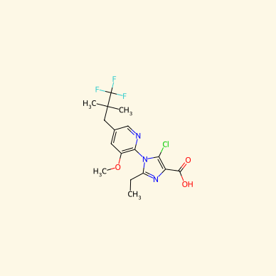 CCc1nc(C(=O)O)c(Cl)n1-c1ncc(CC(C)(C)C(F)(F)F)cc1OC